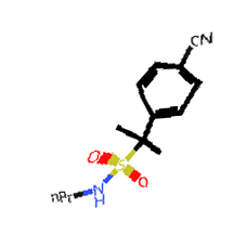 CCCNS(=O)(=O)C(C)(C)c1ccc(C#N)cc1